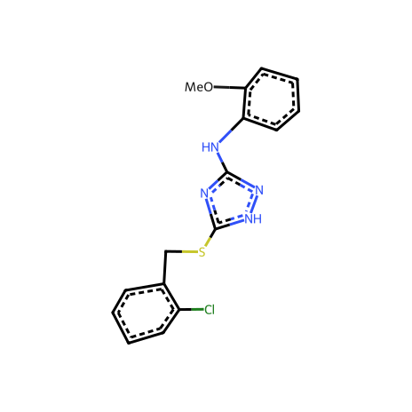 COc1ccccc1Nc1n[nH]c(SCc2ccccc2Cl)n1